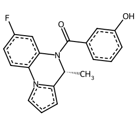 C[C@@H]1c2cccn2-c2ccc(F)cc2N1C(=O)c1cccc(O)c1